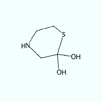 OC1(O)CNCCS1